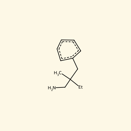 CCC(C)(CN)Cc1ccccc1